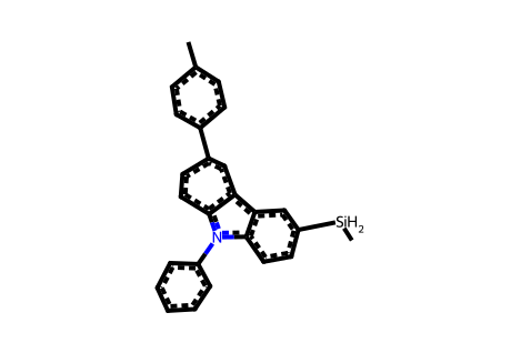 C[SiH2]c1ccc2c(c1)c1cc(-c3ccc(C)cc3)ccc1n2-c1ccccc1